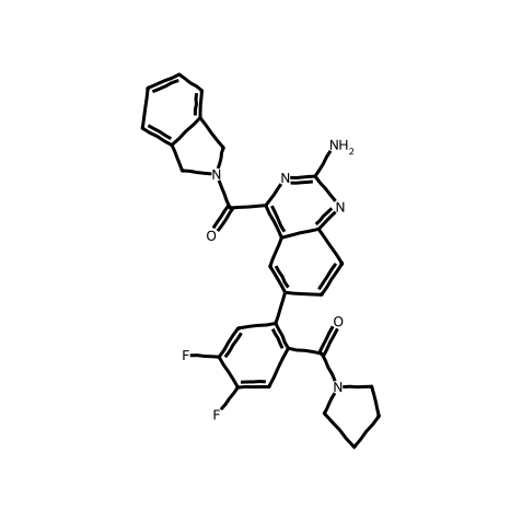 Nc1nc(C(=O)N2Cc3ccccc3C2)c2cc(-c3cc(F)c(F)cc3C(=O)N3CCCC3)ccc2n1